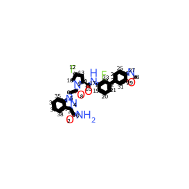 NC(=O)c1nn(CC(=O)N2C[C@H](F)C[C@H]2C(=O)Nc2cccc(-c3ccc4ncoc4c3)c2F)c2ccccc12